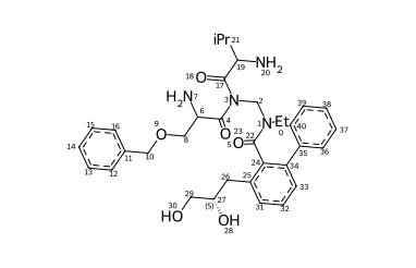 CCN(CN(C(=O)C(N)COCc1ccccc1)C(=O)C(N)C(C)C)C(=O)c1c(C[C@H](O)CO)cccc1-c1ccccc1